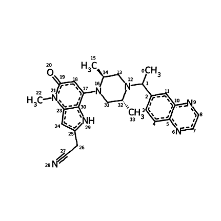 CC(c1ccc2nccnc2c1)N1C[C@H](C)N(c2cc(=O)n(C)c3cc(CC#N)[nH]c23)C[C@H]1C